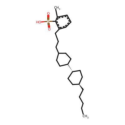 CCCCC[C@H]1CC[C@H](C2CCC(CCCc3cccc(C)c3S(=O)(=O)O)CC2)CC1